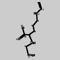 C=NNCCCC(NCCCCCCCC)C(=O)CC